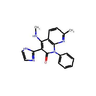 CNc1c(-c2ncc[nH]2)c(=O)n(-c2ccccc2)c2nc(C)ccc12